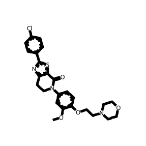 COc1cc(N2CCc3nc(-c4ccc(Cl)cc4)sc3C2=O)ccc1OCCN1CCOCC1